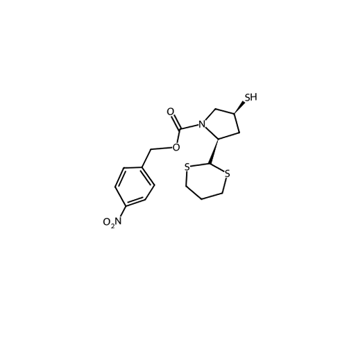 O=C(OCc1ccc([N+](=O)[O-])cc1)N1C[C@@H](S)C[C@H]1C1SCCCS1